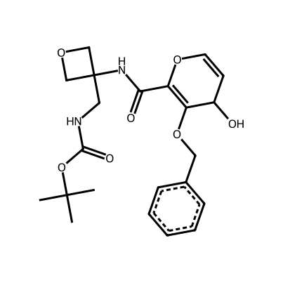 CC(C)(C)OC(=O)NCC1(NC(=O)C2=C(OCc3ccccc3)C(O)C=CO2)COC1